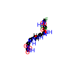 O=C1CCC(N2Cc3cc(N4CCC(CC5C[C@H]6CC(c7ccc(-c8cnc9[nH]cc(C(=O)c%10c(F)ccc(NS(=O)(=O)N%11CC[C@@H](F)C%11)c%10F)c9c8)cc7)N[C@@H]6CN5)CC4)ccc3C2=O)C(=O)N1